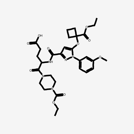 CCOC(=O)N1CCN(C(=O)C(CCC(=O)O)NC(=O)c2cc(OC3(C(=O)OCC)CCC3)n(-c3cccc(OC)c3)n2)CC1